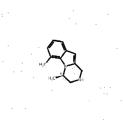 Cc1cccc2cc3n(c12)[C@H](C)CNC3